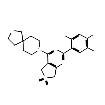 Cl.Cl.O=S1(=O)Cc2nc(-c3cc(F)c(Cl)cc3F)nc(N3CCC4(CCNC4)CC3)c2C1